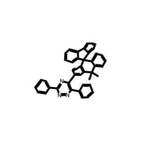 CC1(C)c2ccccc2C2(c3ccccc3-c3ccccc32)c2ccc(-c3nc(-c4ccccc4)nnc3-c3ccccc3)cc21